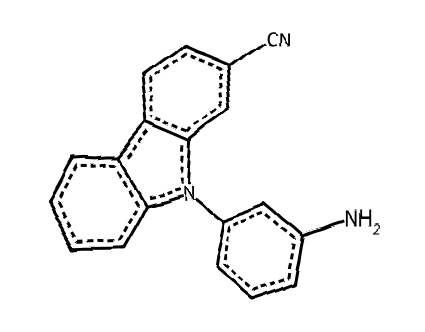 N#Cc1ccc2c3ccccc3n(-c3cccc(N)c3)c2c1